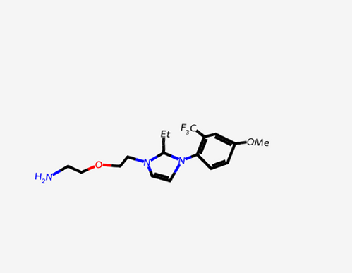 CCC1N(CCOCCN)C=CN1c1ccc(OC)cc1C(F)(F)F